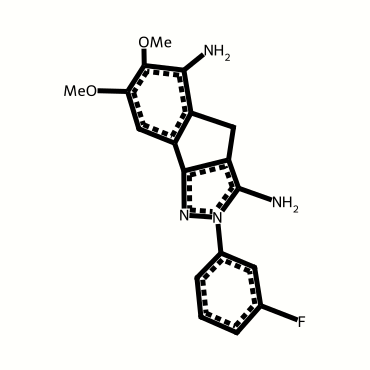 COc1cc2c(c(N)c1OC)Cc1c-2nn(-c2cccc(F)c2)c1N